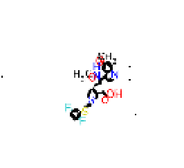 CONC(CC[C@@H]1CCN(CCSc2cc(F)ccc2F)C[C@@H]1CC(=O)O)c1ccnc2ccc(OC)cc12